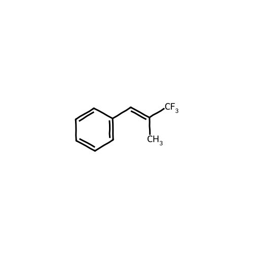 CC(=Cc1ccccc1)C(F)(F)F